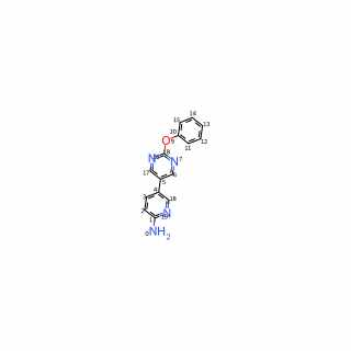 Nc1ccc(-c2cnc(Oc3ccccc3)nc2)cn1